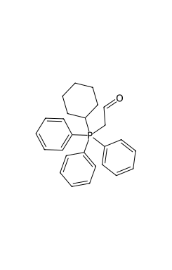 O=CCP(c1ccccc1)(c1ccccc1)(c1ccccc1)C1CCCCC1